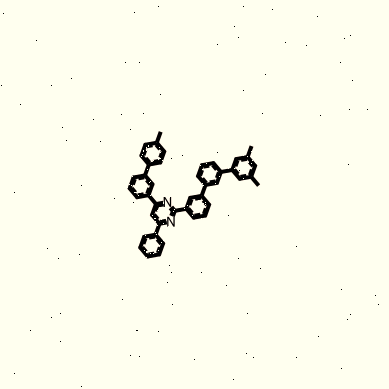 Cc1ccc(-c2cccc(-c3cc(-c4ccccc4)nc(-c4cccc(-c5cccc(-c6cc(C)cc(C)c6)c5)c4)n3)c2)cc1